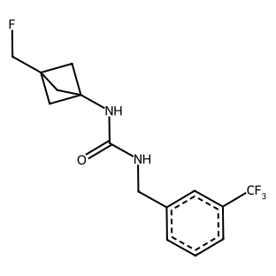 O=C(NCc1cccc(C(F)(F)F)c1)NC12CC(CF)(C1)C2